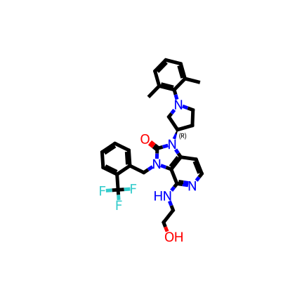 Cc1cccc(C)c1N1CC[C@@H](n2c(=O)n(Cc3ccccc3C(F)(F)F)c3c(NCCO)nccc32)C1